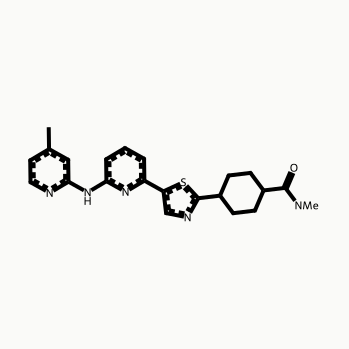 CNC(=O)C1CCC(c2ncc(-c3cccc(Nc4cc(C)ccn4)n3)s2)CC1